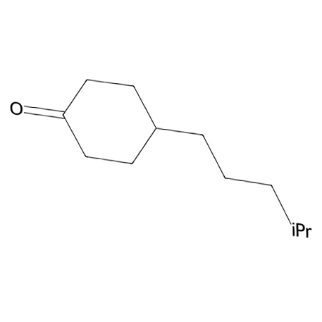 CC(C)CCCC1CCC(=O)CC1